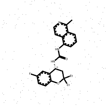 CCC1(CC)C[C@@H](NC(=O)Nc2cccc3c(C)nccc23)c2cc(F)ccc2O1